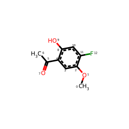 COc1cc(C(C)=O)c(O)cc1F